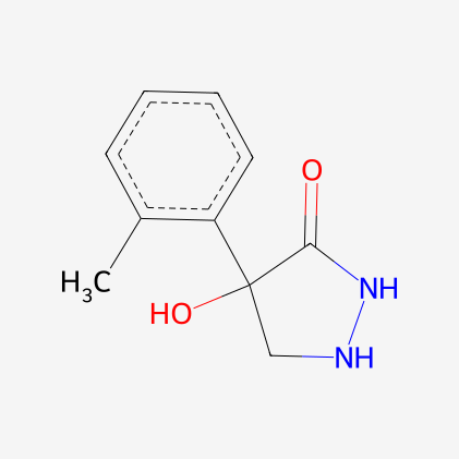 Cc1ccccc1C1(O)CNNC1=O